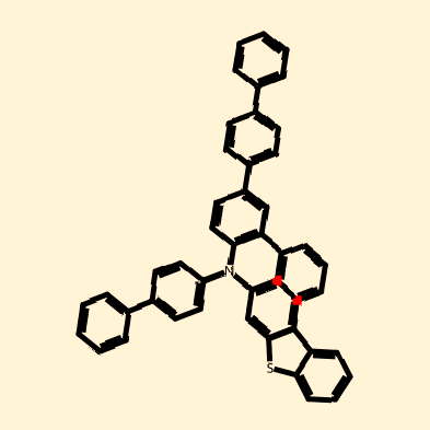 c1ccc(-c2ccc(-c3ccc(N(c4ccc(-c5ccccc5)cc4)c4ccc5c(c4)sc4ccccc45)c(-c4ccccc4)c3)cc2)cc1